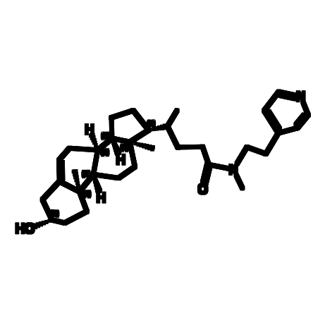 CC(CCC(=O)N(C)CCc1ccncc1)[C@H]1CC[C@H]2[C@@H]3CC=C4C[C@@H](O)CC[C@]4(C)[C@H]3CC[C@]12C